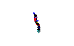 N#Cc1cccc(CN2CCC(NC(=O)c3cc4ccc(OC5CCN(c6ccc(C(F)(F)F)cc6)CC5)cc4s3)CC2I)c1